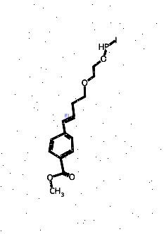 COC(=O)c1ccc(/C=C/CCOCCOPI)cc1